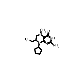 CCC1CN(C)c2c(nc(N)[nH]c2=O)N1C1CCCC1